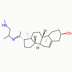 CNCC(C)/N=C(\C)[C@H]1CC[C@H]2[C@@H]3CC=C4C[C@H](O)CC[C@]4(C)[C@H]3CC[C@]12C